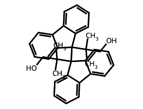 CC(C)(CO)C1(C2(C(C)(C)CO)c3ccccc3-c3ccccc32)c2ccccc2-c2ccccc21